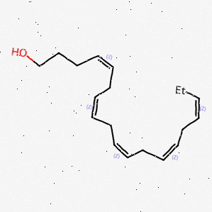 CC/C=C\C/C=C\C/C=C\C/C=C\C/C=C\CCCO